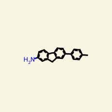 Cc1ccc(-c2ccc3c(c2)Cc2cc(N)ccc2-3)cc1